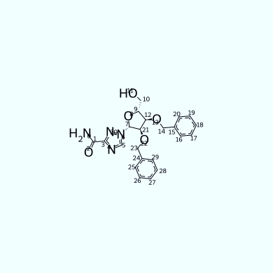 NC(=O)c1ncn([C@@H]2O[C@H](CO)[C@@H](OCc3ccccc3)[C@H]2OCc2ccccc2)n1